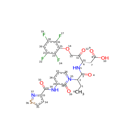 CCC(C(=O)N[C@@H](CC(=O)O)C(=O)COc1c(F)c(F)cc(F)c1F)n1cccc(NC(=O)c2ccsn2)c1=O